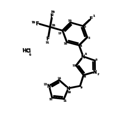 Cl.Fc1cc(-n2cnc(Cn3ccnc3)c2)cc(C(F)(F)F)c1